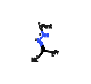 CCCCCNN=C(C#N)CCC